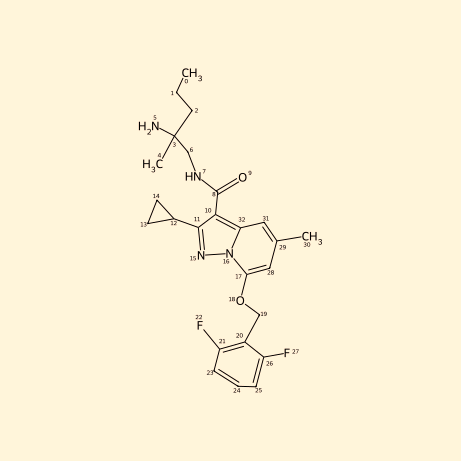 CCCC(C)(N)CNC(=O)c1c(C2CC2)nn2c(OCc3c(F)cccc3F)cc(C)cc12